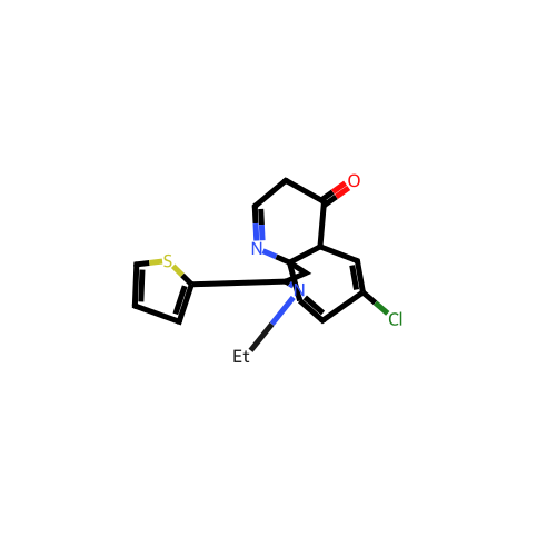 CCN1C2=CC(Cl)=CC3C(=O)CC=NC23CC1c1cccs1